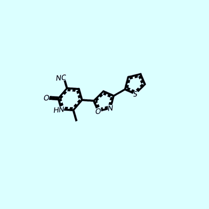 Cc1[nH]c(=O)c(C#N)cc1-c1cc(-c2cccs2)no1